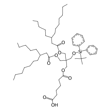 CCCCCCCC(CCCCC)CC(=O)OCC(COC(=O)CCCCC(=O)O)(COC(=O)CC(CCCCC)CCCCCCC)CO[Si](c1ccccc1)(c1ccccc1)C(C)(C)C